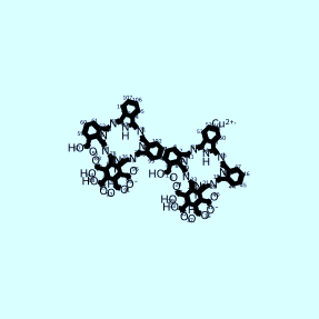 O=C(O)c1cccc2c1-c1nc-2nc2[nH]c(nc3nc(nc4[nH]c(n1)c1c(C(=O)O)c(C(=O)O)c(C(=O)O)c(C(=O)[O-])c41)-c1ccccc1-3)c1ccccc21.O=C(O)c1cccc2c1-c1nc-2nc2[nH]c(nc3nc(nc4[nH]c(n1)c1c(C(=O)O)c(C(=O)O)c(C(=O)O)c(C(=O)[O-])c41)-c1ccccc1-3)c1ccccc21.[Cu+2]